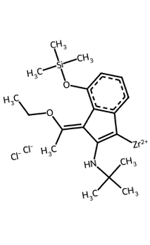 CCOC(C)=C1C(NC(C)(C)C)=[C]([Zr+2])c2cccc(O[Si](C)(C)C)c21.[Cl-].[Cl-]